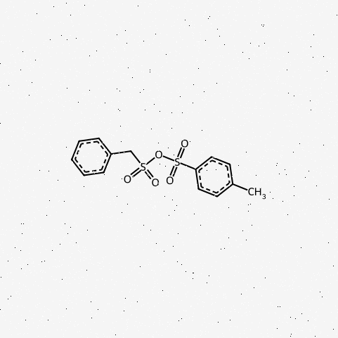 Cc1ccc(S(=O)(=O)OS(=O)(=O)Cc2ccccc2)cc1